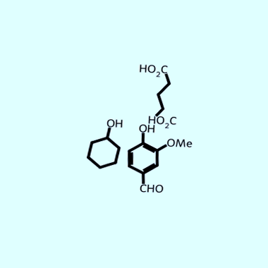 COc1cc(C=O)ccc1O.O=C(O)CCCC(=O)O.OC1CCCCC1